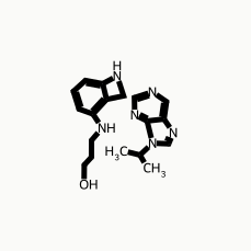 CC(C)n1cnc2cncnc21.OCCCNc1cccc2c1CN2